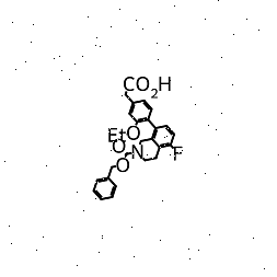 CCOc1cc(CC(=O)O)ccc1-c1ccc(F)c2c1CN(C(=O)OCc1ccccc1)CC2